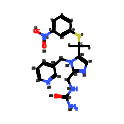 CC(C)(Sc1cccc([N+](=O)[O-])c1)c1cnc(CNC(N)=O)n1Cc1cccnc1